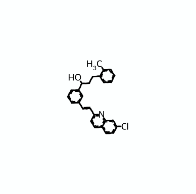 Cc1ccccc1CCC(O)c1cccc(/C=C/c2ccc3ccc(Cl)cc3n2)c1